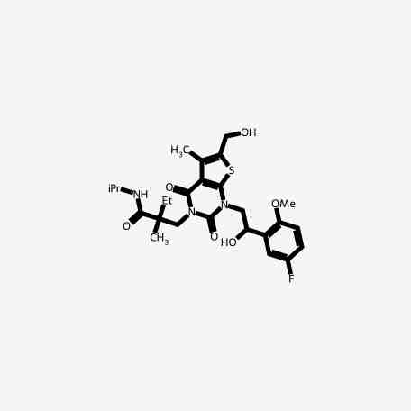 CCC(C)(Cn1c(=O)c2c(C)c(CO)sc2n(CC(O)c2cc(F)ccc2OC)c1=O)C(=O)NC(C)C